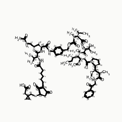 CC[C@H](C)[C@@H]([C@@H](CC(=O)N1CCC[C@H]1[C@H](OC)[C@@H](C)C(=O)NCC(=O)c1ccccc1)OC)N(C)C(=O)[C@@H](NC(=O)[C@H](C(C)C)N(C)C(=O)OCc1ccc(NC(=O)[C@H](CCCNC(N)=O)NC(=O)[C@@H](NC(=O)CCCCCC2C(=O)CC(SCC3(CC(=O)O)CC3)C2=O)C(C)C)cc1)C(C)C